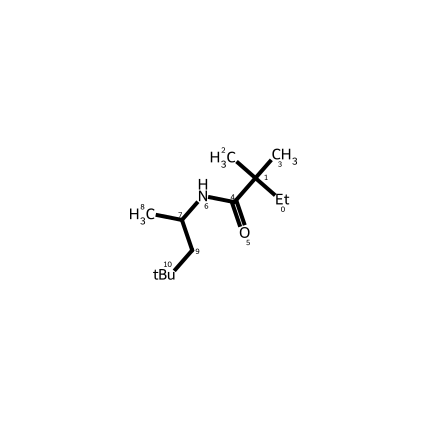 CCC(C)(C)C(=O)NC(C)CC(C)(C)C